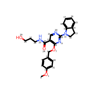 COc1ccc(COc2nc(N3CCc4ccccc43)ncc2C(=O)NCCCO)cc1